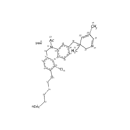 Br.CCCCCCCCCCCCCCOc1ccc(CN(C(C)=O)c2cccc(CC3(C)C=C(C)C=NC3)c2)cc1Cl